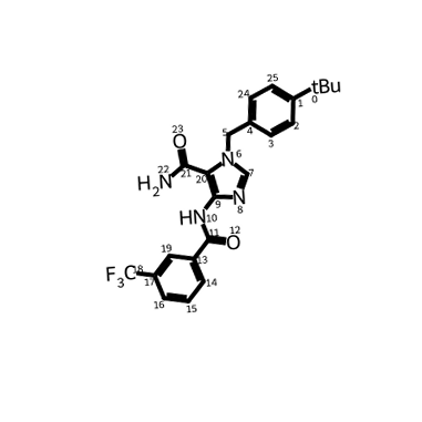 CC(C)(C)c1ccc(Cn2cnc(NC(=O)c3cccc(C(F)(F)F)c3)c2C(N)=O)cc1